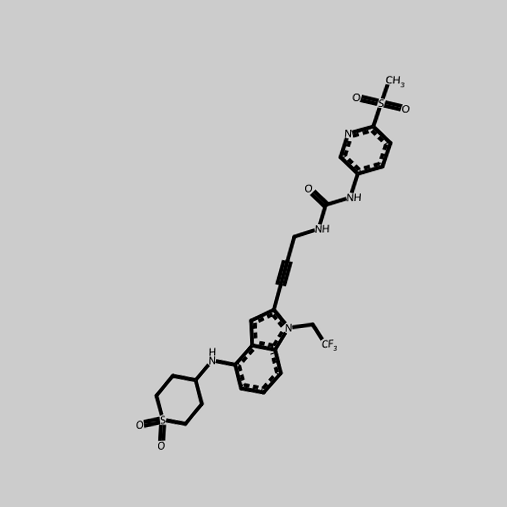 CS(=O)(=O)c1ccc(NC(=O)NCC#Cc2cc3c(NC4CCS(=O)(=O)CC4)cccc3n2CC(F)(F)F)cn1